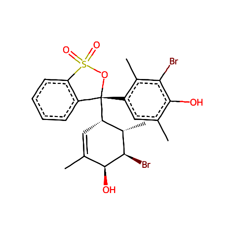 CC1=C[C@H]([C@@]2(c3cc(C)c(O)c(Br)c3C)OS(=O)(=O)c3ccccc32)[C@H](C)[C@@H](Br)[C@H]1O